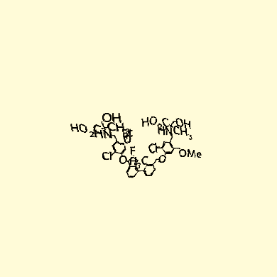 CCOc1cc(O[C@@H]2c3cccc(-c4cccc(COc5cc(COC)c(CN[C@@](C)(CO)C(=O)O)cc5Cl)c4C)c3C[C@@H]2F)c(Cl)cc1CN[C@@](C)(CO)C(=O)O